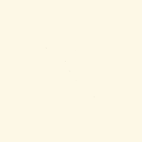 CC(=O)c1ccc([C@H]2CN(C3=NC(c4ccncc4F)=CC(=O)CC3)CCO2)cc1